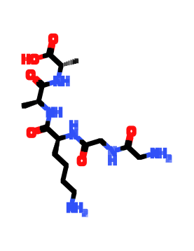 C[C@H](NC(=O)[C@H](C)NC(=O)[C@H](CCCCN)NC(=O)CNC(=O)CN)C(=O)O